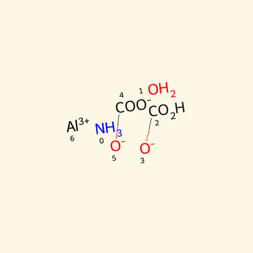 N.O.O=C([O-])O.O=C([O-])[O-].[Al+3]